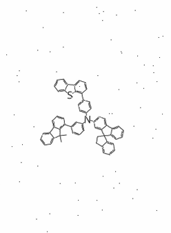 CC1(C)c2ccccc2-c2cccc(-c3cccc(N(c4ccc(-c5cccc6c5sc5ccccc56)cc4)c4ccc5c(c4)C4(CCc6ccccc64)c4ccccc4-5)c3)c21